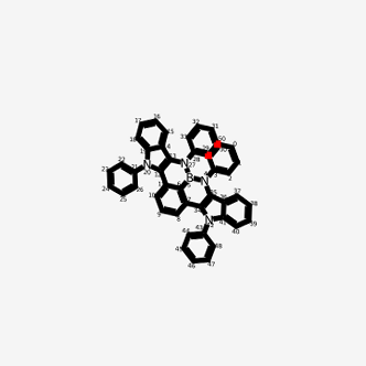 c1ccc(N2B3c4c(cccc4-c4c(c5ccccc5n4-c4ccccc4)N3c3ccccc3)-c3c2c2ccccc2n3-c2ccccc2)cc1